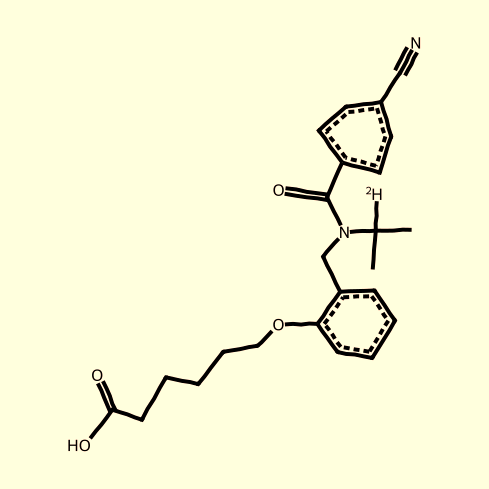 [2H]C(C)(C)N(Cc1ccccc1OCCCCCC(=O)O)C(=O)c1ccc(C#N)cc1